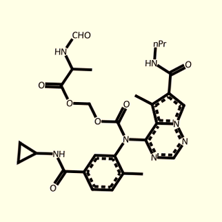 CCCNC(=O)c1cn2ncnc(N(C(=O)OCOC(=O)C(C)NC=O)c3cc(C(=O)NC4CC4)ccc3C)c2c1C